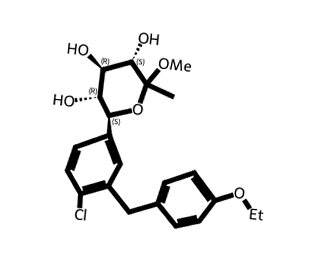 CCOc1ccc(Cc2cc([C@@H]3OC(C)(OC)[C@@H](O)[C@H](O)[C@H]3O)ccc2Cl)cc1